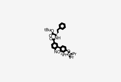 CC(C)[Si](Oc1ccc(-c2cc(C(=O)N[C@@H](CCc3ccccc3)C(=O)OC(C)(C)C)ccc2[N+](=O)[O-])cc1)(C(C)C)C(C)C